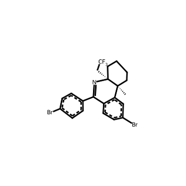 C[C@@]12CCCC[C@]1(CC(F)(F)F)N=C(c1ccc(Br)cc1)c1ccc(Br)cc12